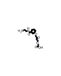 NCCNC(=O)c1cccc(OCC(=O)/C=C/OCC(=O)O)c1